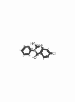 O=c1c2ccc(Cl)cc2nc(S)n1-c1ccccc1